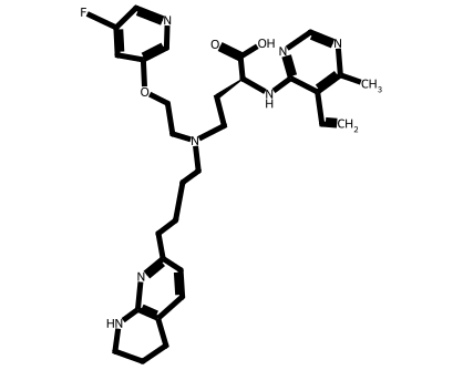 C=Cc1c(C)ncnc1N[C@@H](CCN(CCCCc1ccc2c(n1)NCCC2)CCOc1cncc(F)c1)C(=O)O